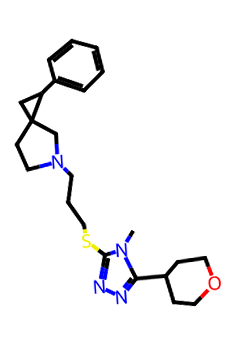 Cn1c(SCCCN2CCC3(CC3c3ccccc3)C2)nnc1C1CCOCC1